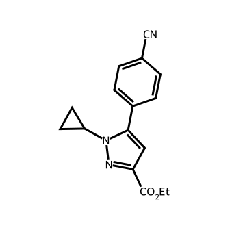 CCOC(=O)c1cc(-c2ccc(C#N)cc2)n(C2CC2)n1